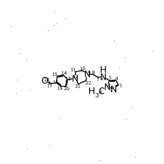 Cn1nccc1NCCN1CCN(c2ccc(C=O)cc2)CC1